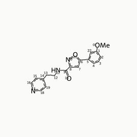 COc1cccc(-c2cc(C(=O)NCCc3ccncc3)no2)c1